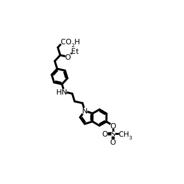 CCOC(CC(=O)O)Cc1ccc(NCCCn2ccc3cc(OS(C)(=O)=O)ccc32)cc1